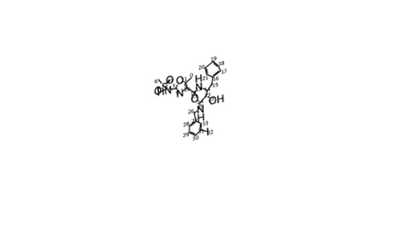 Cc1oc(NS(C)(=O)=O)nc1C(=O)N[C@@H](Cc1ccccc1)[C@H](O)CNCc1cccc(I)c1